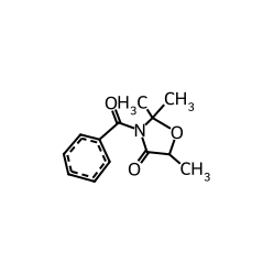 CC1OC(C)(C)N(C(=O)c2ccccc2)C1=O